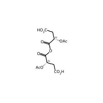 CC(=O)O[C@@H](CC(=O)O)C(=O)OC(=O)[C@H](CC(=O)O)OC(C)=O